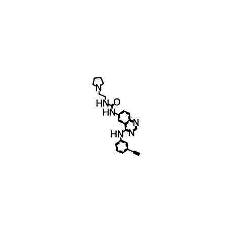 C#Cc1cccc(Nc2ncnc3ccc(NC(=O)NCCN4CCCC4)cc23)c1